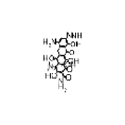 CN(C)[C@@H]1C(O)=C(C(N)=O)C(=O)[C@@]2(O)C(O)=C3C(=O)c4c(O)c(N=N)cc(N)c4CC3[C@H](O)C12